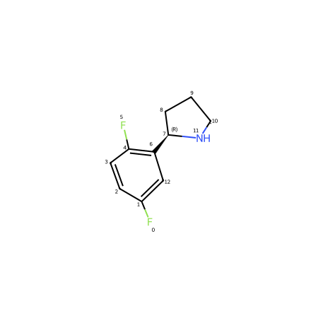 Fc1ccc(F)c([C@H]2CC[CH]N2)c1